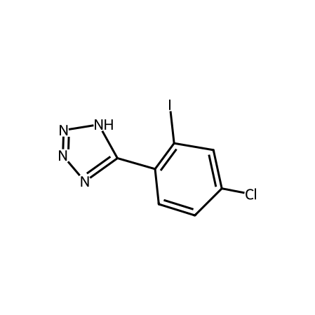 Clc1ccc(-c2nnn[nH]2)c(I)c1